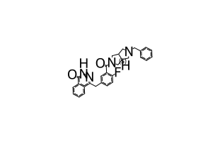 O=C(c1cc(Cc2n[nH]c(=O)c3ccccc23)ccc1F)N1CC2CN(Cc3ccccc3)C[C@H]2C1